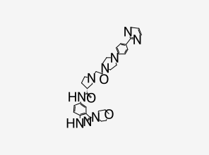 O=C(Nc1ccc2[nH]nc(N3CCOCC3)c2c1)[C@@H]1CCN(CC(=O)N2CCN(c3ccc(-c4ncccn4)cc3)CC2)C1